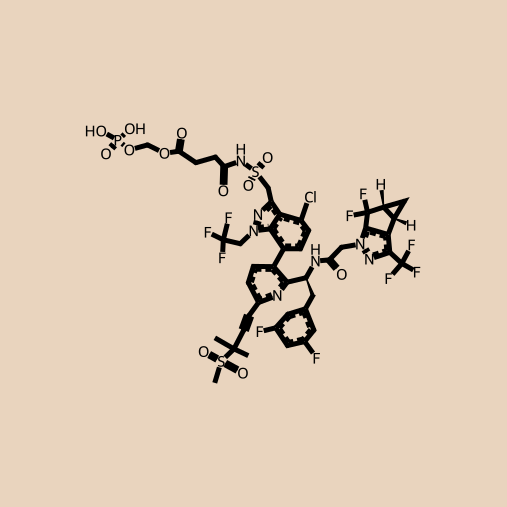 CC(C)(C#Cc1ccc(-c2ccc(Cl)c3c(CS(=O)(=O)NC(=O)CCC(=O)OCOP(=O)(O)O)nn(CC(F)(F)F)c23)c([C@H](Cc2cc(F)cc(F)c2)NC(=O)Cn2nc(C(F)(F)F)c3c2C(F)(F)[C@@H]2C[C@H]32)n1)S(C)(=O)=O